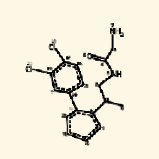 CC(CNC(=O)CN)c1ccccc1-c1ccc(Cl)c(Cl)c1